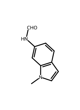 Cn1ccc2ccc(NC=O)cc21